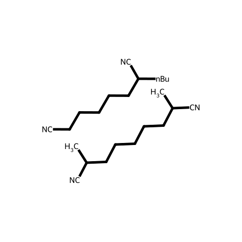 CC(C#N)CCCCCC(C)C#N.CCCCC(C#N)CCCCCC#N